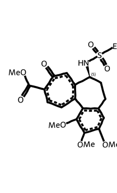 CCS(=O)(=O)N[C@H]1CCc2cc(OC)c(OC)c(OC)c2-c2ccc(C(=O)OC)c(=O)cc21